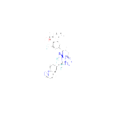 CNC(=O)c1ccc(-c2ccc3nnc(C(F)(F)c4ccc5ncccc5c4)n3n2)cc1F